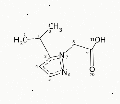 CC(C)c1ccnn1CC(=O)O